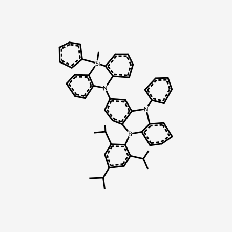 CC(C)c1cc(C(C)C)c(B2c3ccccc3N(c3ccccc3)c3cc(N4c5ccccc5[Si](C)(c5ccccc5)c5ccccc54)ccc32)c(C(C)C)c1